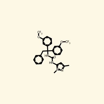 Cc1cc(NC(=O)NC(Cc2ccccc2)(c2cccc(OC(F)(F)F)c2)c2cccc(OC(F)(F)F)c2)n(C)n1